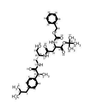 CC(C)Cc1ccc([C@H](C)C(=O)NC[C@H](CO)NC(=O)CC(NC(=O)OCc2ccccc2)C(=O)OC(C)(C)C)cc1